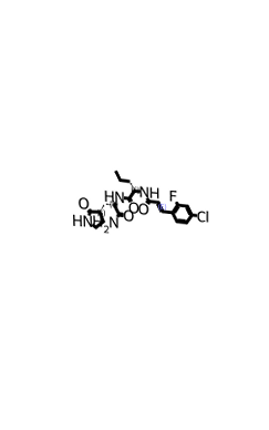 CCC[C@H](NC(=O)/C=C/c1ccc(Cl)cc1F)C(=O)N[C@@H](C[C@@H]1CCNC1=O)C(N)=O